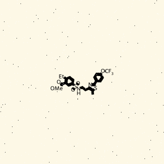 CCc1ccc(S(=O)(=O)NCCc2nc(-c3ccc(OC(F)(F)F)cc3)sc2C)cc1C(=O)OC